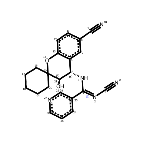 N#C/N=C(\N[C@H]1c2cc(C#N)ccc2OC2(CCCCC2)[C@@H]1O)c1cccnc1